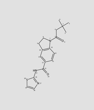 CC(C)(C)CC(=O)N1CCc2cc(C(=O)Nc3nccs3)ccc21